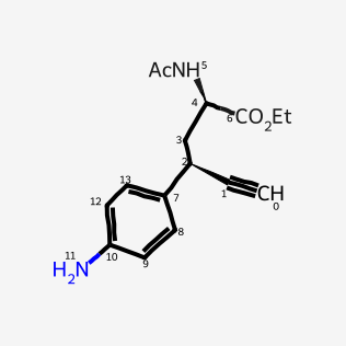 C#C[C@H](C[C@@H](NC(C)=O)C(=O)OCC)c1ccc(N)cc1